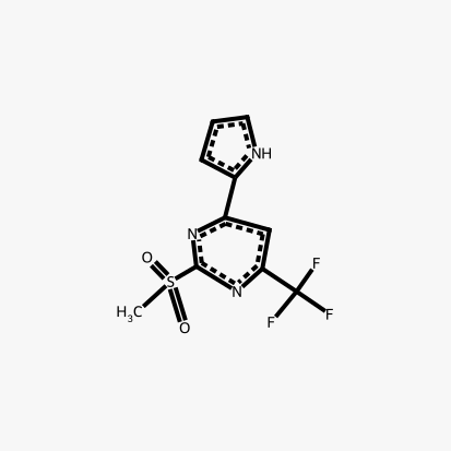 CS(=O)(=O)c1nc(-c2ccc[nH]2)cc(C(F)(F)F)n1